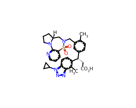 Cc1ccc([C@H](CC(=O)O)c2ccc3c(nnn3C3CC3)c2C)cc1CN1C[C@H]2CCCN2c2ncccc2S1(=O)=O